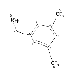 [NH]Cc1cc(C(F)(F)F)cc(C(F)(F)F)c1